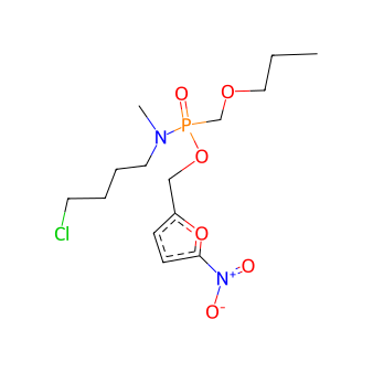 CCCOCP(=O)(OCc1ccc([N+](=O)[O-])o1)N(C)CCCCCl